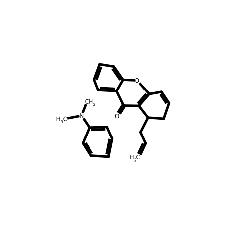 C=CCC1CC=Cc2oc3ccccc3c(=O)c21.CN(C)c1ccccc1